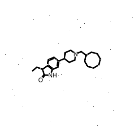 CCC1C(=O)Nc2cc(C3CCN(CC4CCCCCCC4)CC3)ccc21